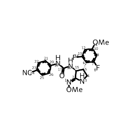 CO/N=C1\NC[C@@H](c2c(F)cc(OC)cc2F)[C@@H]1NC(=O)Nc1ccc(C#N)cc1